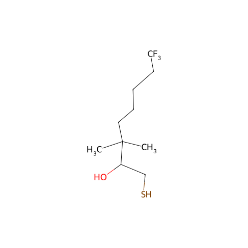 CC(C)(CCCCC(F)(F)F)C(O)CS